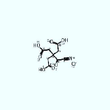 N#CC(=O)C(CC(=O)O)(CC(=O)O)CC(=O)O.[Cr]